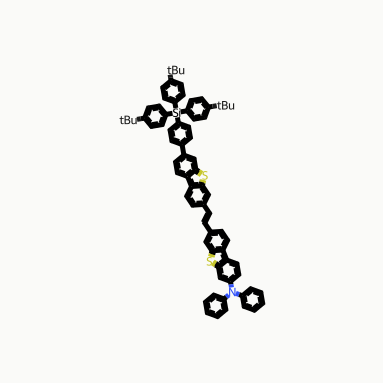 CC(C)(C)c1ccc([Si](c2ccc(-c3ccc4c(c3)sc3cc(/C=C/c5ccc6c(c5)sc5cc(N(c7ccccc7)c7ccccc7)ccc56)ccc34)cc2)(c2ccc(C(C)(C)C)cc2)c2ccc(C(C)(C)C)cc2)cc1